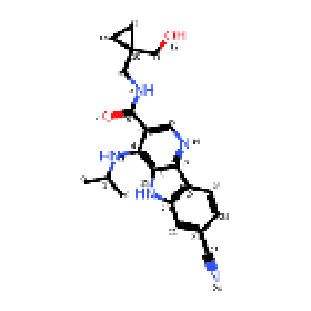 CC(C)Nc1c(C(=O)NCC2(CO)CC2)cnc2c1[nH]c1cc(C#N)ccc12